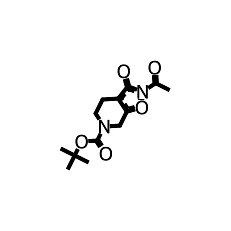 CC(=O)n1oc2c(c1=O)CCN(C(=O)OC(C)(C)C)C2